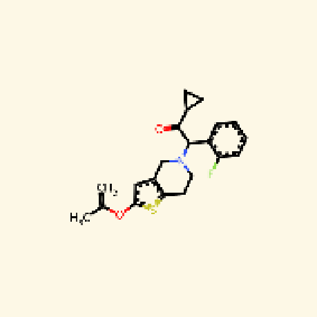 C=C(C)Oc1cc2c(s1)CCN(C(C(=O)C1CC1)c1ccccc1F)C2